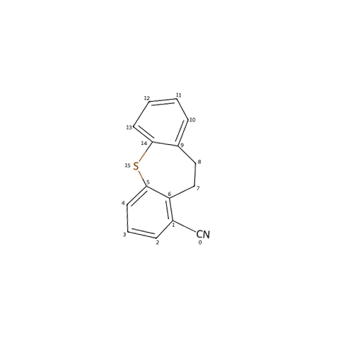 N#Cc1cccc2c1CCc1ccccc1S2